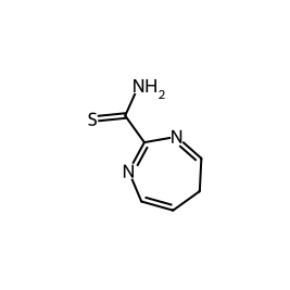 NC(=S)C1=NC=CCC=N1